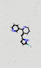 Fc1ccc(C=C2CCCN=C2c2cccnc2)[nH]1